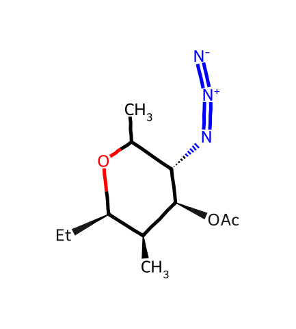 CC[C@H]1OC(C)[C@H](N=[N+]=[N-])[C@@H](OC(C)=O)[C@H]1C